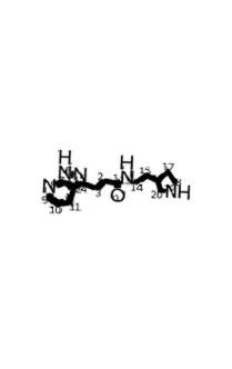 O=C(C=Cc1n[nH]c2ncccc12)NCCC1CCNC1